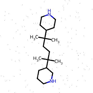 CC(C)(CCC(C)(C)C1CCCNC1)C1CCNCC1